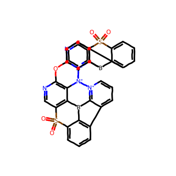 O=S1(=O)c2cccc3c2B2c4c1cnc1c4[N+]4(c5c(ncc6c5B5c7c(cccc7S6(=O)=O)-c6ccc[n+]4c65)O1)[n+]1cccc-3c12